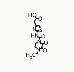 CCN1CCN(C(=O)Nc2nc(CC(=O)O)cs2)C(=O)C1=O